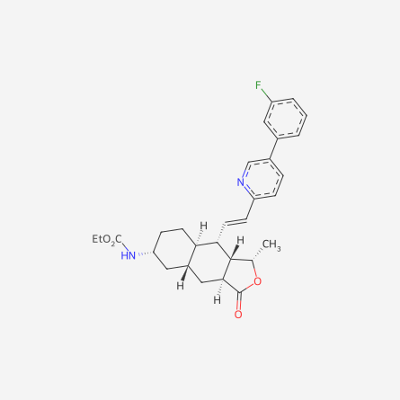 CCOC(=O)N[C@@H]1CC[C@@H]2[C@@H](C1)C[C@@H]1C(=O)O[C@@H](C)[C@H]1[C@H]2/C=C/c1ccc(-c2cccc(F)c2)cn1